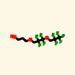 OCCCOCC(F)(F)C(F)(F)OCC(F)(F)C(F)(F)F